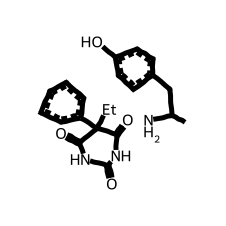 CC(N)Cc1ccc(O)cc1.CCC1(c2ccccc2)C(=O)NC(=O)NC1=O